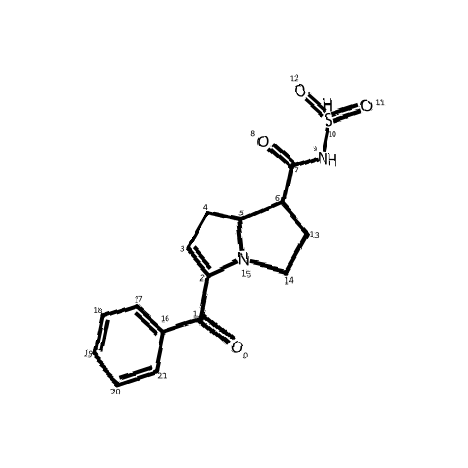 O=C(C1=CCC2C(C(=O)N[SH](=O)=O)CCN12)c1ccccc1